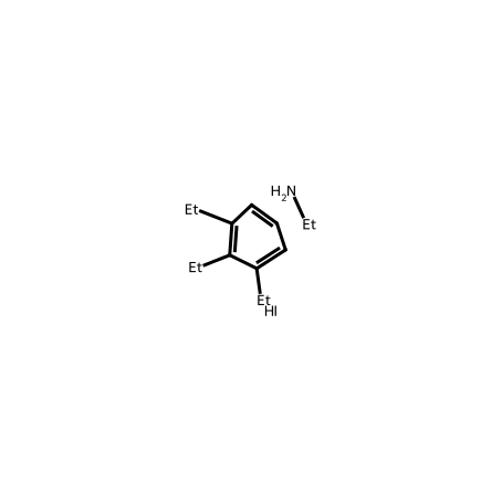 CCN.CCc1cccc(CC)c1CC.I